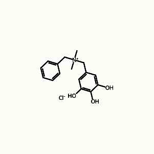 C[N+](C)(Cc1ccccc1)Cc1cc(O)c(O)c(O)c1.[Cl-]